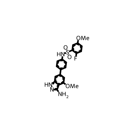 COc1ccc(F)c(S(=O)(=O)Nc2ccc(-c3cc(OC)c4c(N)n[nH]c4c3)cc2)c1